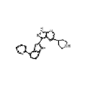 c1ccc(-c2cccc3[nH]c(-c4n[nH]c5ncc(C6CCNCC6)cc45)cc23)nc1